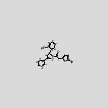 O=C(Cc1ccc(Br)s1)N1N=C(c2cccnc2)CC1c1ccccc1O